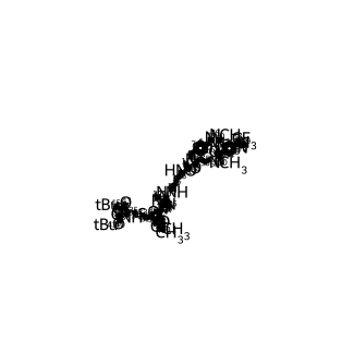 Cc1nnc(-c2ccc(CN(CC(=O)NCCCCNc3ncnc4c3ncn4C3OC(CSCC[C@H](NC(=O)OC(C)(C)C)C(=O)OC(C)(C)C)C4OC(C)(C)OC43)C(=O)CC/C=N/N(C)C(=O)c3ccc(C4(C(F)(F)F)N=N4)cc3)cc2)nn1